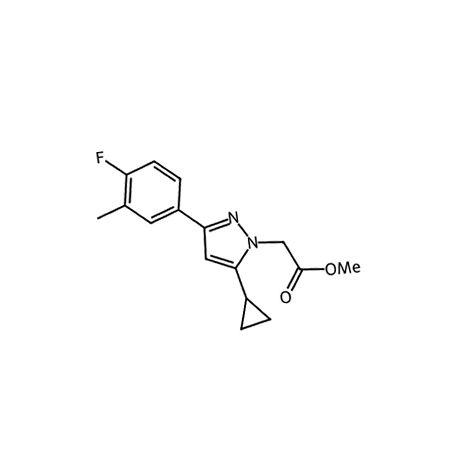 COC(=O)Cn1nc(-c2ccc(F)c(C)c2)cc1C1CC1